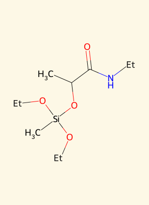 CCNC(=O)C(C)O[Si](C)(OCC)OCC